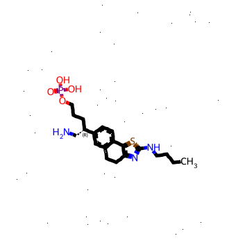 CCCCNc1nc2c(s1)-c1ccc([C@H](CN)CCCOP(=O)(O)O)cc1CC2